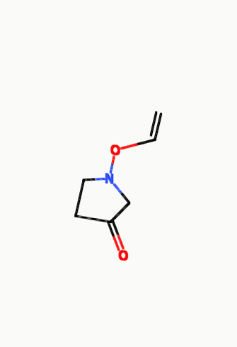 C=CON1CCC(=O)C1